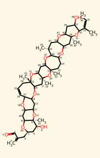 C=C(C=O)C[C@@H]1C[C@H](O)[C@]2(C)OC3CC4OC5C[C@]6(C)O[C@]7(C)CCC8OC9C[C@]%10(C)OC(/C(C)=C\C)C(O)CC%10OC9C[C@@H](C)C8OC7CC6O[C@@]5(C)C/C=C\C4OC3CC2O1